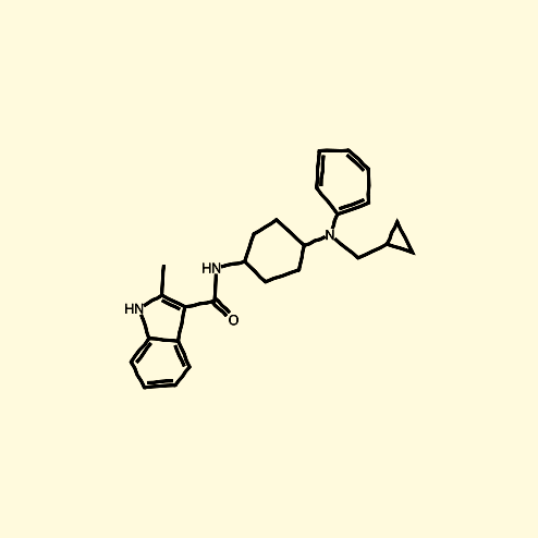 Cc1[nH]c2ccccc2c1C(=O)NC1CCC(N(CC2CC2)c2ccccc2)CC1